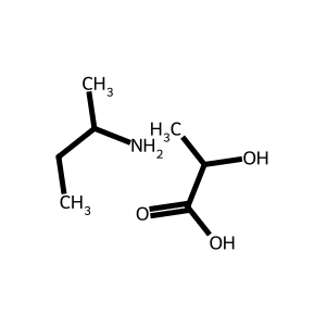 CC(O)C(=O)O.CCC(C)N